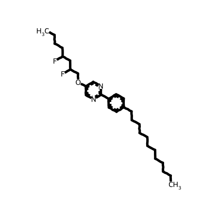 CCCCCCCCCCCCc1ccc(-c2ncc(OCC(F)CC(F)CCCC)cn2)cc1